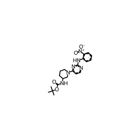 CC(C)(C)OC(=O)NC1CCCN(c2ccnc(Nc3ccccc3[N+](=O)[O-])n2)C1